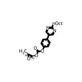 CCCCCCCCc1ncc(-c2ccc(OC(=O)O[C@H]3O[C@@H]3C)cc2)cn1